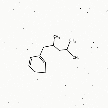 CC(C)CC(C)CC1=CCCC=C1